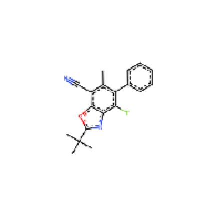 Cc1c(-c2ccccc2)c(F)c2nc(C(C)(C)C)oc2c1C#N